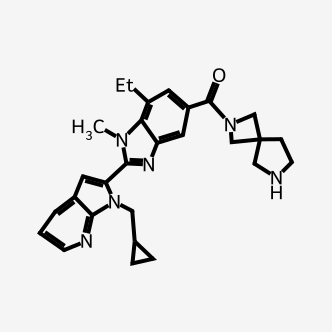 CCc1cc(C(=O)N2CC3(CCNC3)C2)cc2nc(-c3cc4cccnc4n3CC3CC3)n(C)c12